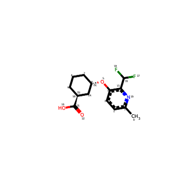 Cc1ccc(O[C@H]2CCC[C@H](C(=O)O)C2)c(C(F)F)n1